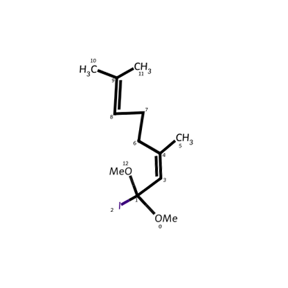 COC(I)(C=C(C)CCC=C(C)C)OC